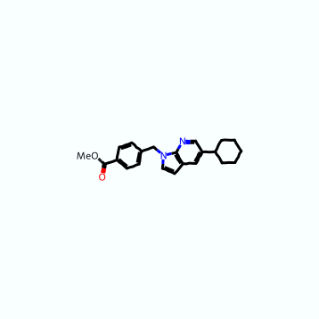 COC(=O)c1ccc(Cn2ccc3cc(C4CCCCC4)cnc32)cc1